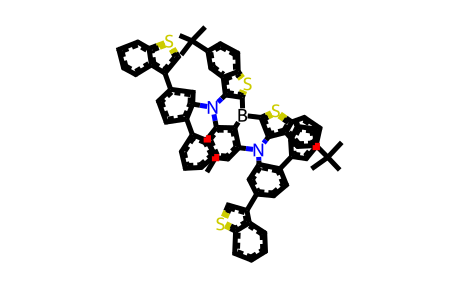 Cc1cc2c3c(c1)N(c1cc(-c4csc5ccccc45)ccc1-c1ccccc1)c1c(sc4ccc(C(C)(C)C)cc14)B3c1sc3ccc(C(C)(C)C)cc3c1N2c1cc(-c2csc3ccccc23)ccc1-c1ccccc1